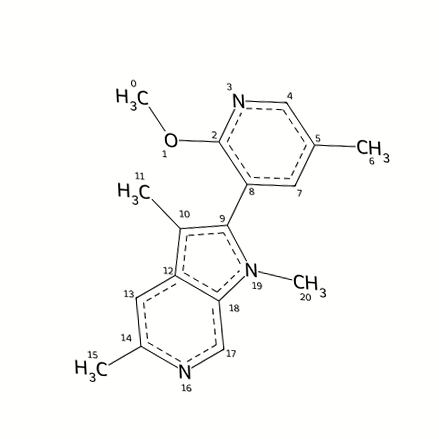 COc1ncc(C)cc1-c1c(C)c2cc(C)ncc2n1C